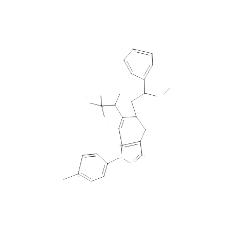 CCOC(C[C@@]1(C)Cc2cnn(-c3ccc(F)cc3)c2C=C1C(C)C(C)(C)C(=O)O)c1ccccc1